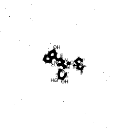 CCc1cccc2cc(O)cc(-c3ncc4c(N5CC[C@@H](O)[C@@H](O)CC5)nc(OC[C@@]56CCCN5C[C@H](F)C6)nc4c3F)c12